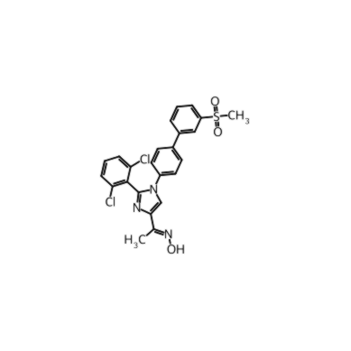 CC(=NO)c1cn(-c2ccc(-c3cccc(S(C)(=O)=O)c3)cc2)c(-c2c(Cl)cccc2Cl)n1